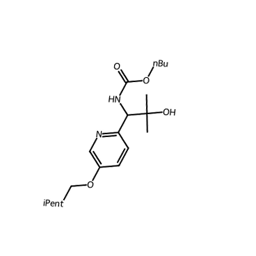 CCCCOC(=O)NC(c1ccc(OCC(C)CCC)cn1)C(C)(C)O